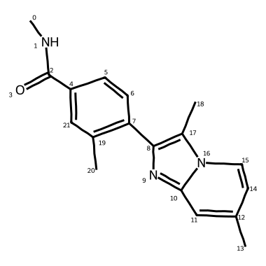 CNC(=O)c1ccc(-c2nc3cc(C)ccn3c2C)c(C)c1